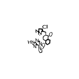 Cn1ncc(Cl)c1C[C@@H]1CCc2c(OC[C@H]3CCCN3c3ncnc4[nH]cnc34)cccc2C1=O